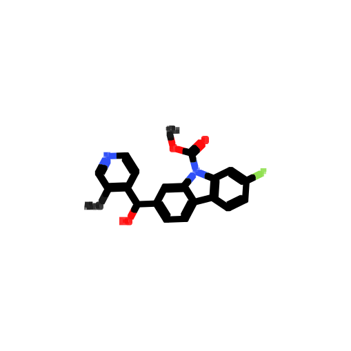 COc1cnccc1C(O)c1ccc2c3ccc(F)cc3n(C(=O)OC(C)(C)C)c2c1